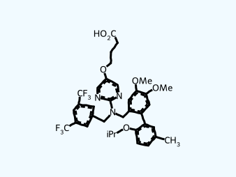 COc1cc(CN(Cc2cc(C(F)(F)F)cc(C(F)(F)F)c2)c2ncc(OCCCC(=O)O)cn2)c(-c2cc(C)ccc2OC(C)C)cc1OC